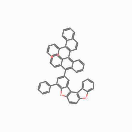 c1ccc(-c2c(-c3c4ccccc4c(-c4cc(-c5ccccc5)c5oc6ccc7oc8ccccc8c7c6c5c4)c4ccccc34)ccc3ccccc23)cc1